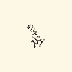 CCCOC1CCC(C)(N2CCC(n3c(=O)[nH]c4ccc(C)cc43)CC2)CC1